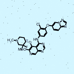 COc1ncc2ncnc(Nc3ccc(Oc4ccc5ncnn5c4)c(Cl)c3)c2c1O[C@H]1CCN(C)CC1(F)F